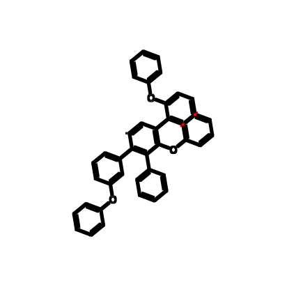 [c]1cc(-c2ccccc2Oc2ccccc2)c(Oc2ccccc2)c(-c2ccccc2)c1-c1cccc(Oc2ccccc2)c1